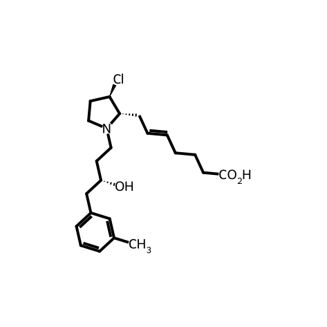 Cc1cccc(C[C@@H](O)CCN2CC[C@@H](Cl)[C@@H]2CC=CCCCC(=O)O)c1